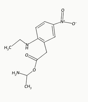 CCNc1ccc([N+](=O)[O-])cc1CC(=O)OC(C)N